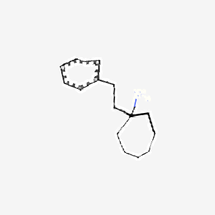 NC1(CCc2ccccc2)CCCCCC1